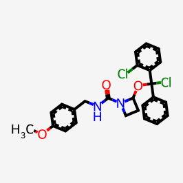 COc1ccc(CNC(=O)N2CCC2OC(Cl)(c2ccccc2)c2ccccc2Cl)cc1